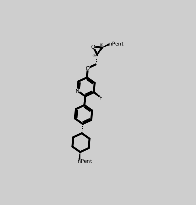 CCCCC[C@@H]1O[C@H]1COc1cnc(-c2ccc([C@H]3CC[C@H](CCCCC)CC3)cc2)c(F)c1